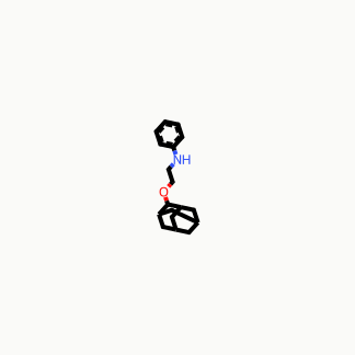 c1ccc(NCCOC2C3CC4CC(C3)CC2C4)cc1